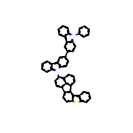 c1ccc(-n2c3ccccc3c3cc(-c4ccc5c(c4)c4ccccc4n5-c4ccc5c6c(cccc46)-c4c-5ccc5sc6ccccc6c45)ccc32)cc1